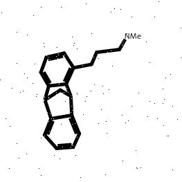 CNCCCc1cccc2c1C1CC2c2ccccc21